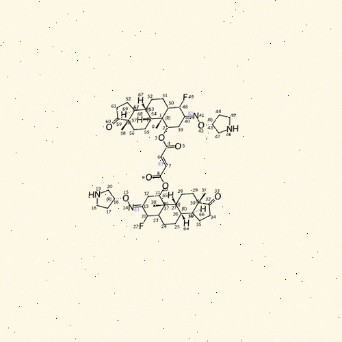 C[C@]12C(OC(=O)/C=C/C(=O)OC3C/C(=N\O[C@@H]4CCNC4)C(F)C4CC[C@@H]5[C@@H](CC[C@]6(C)C(=O)CC[C@@H]56)[C@@]34C)C/C(=N\O[C@@H]3CCNC3)C(F)C1CC[C@@H]1[C@H]2CC[C@]2(C)C(=O)CC[C@@H]12